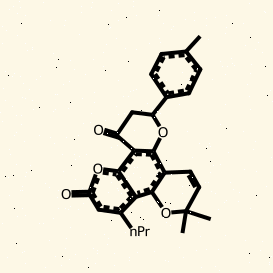 CCCc1cc(=O)oc2c3c(c4c(c12)OC(C)(C)C=C4)OC(c1ccc(C)cc1)CC3=O